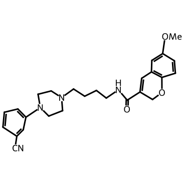 COc1ccc2c(c1)C=C(C(=O)NCCCCN1CCN(c3cccc(C#N)c3)CC1)CO2